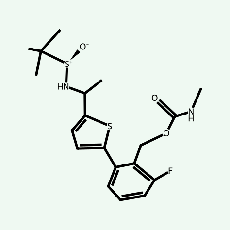 CNC(=O)OCc1c(F)cccc1-c1ccc(C(C)N[S@+]([O-])C(C)(C)C)s1